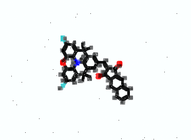 CC1(C)c2cc(F)cc3c2N2c4c(cc(F)cc4C(C)(C)c4cc(C=C5C(=O)c6cc7ccccc7cc6C5=O)cc1c42)O3